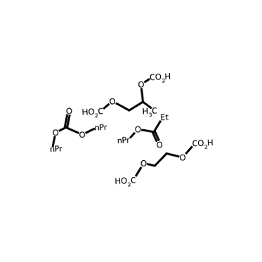 CC(COC(=O)O)OC(=O)O.CCCOC(=O)CC.CCCOC(=O)OCCC.O=C(O)OCCOC(=O)O